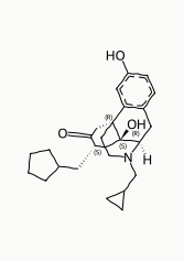 O=C1C[C@]23CCN(CC4CC4)[C@H](Cc4ccc(O)cc42)[C@]3(O)C[C@@H]1CC1CCCC1